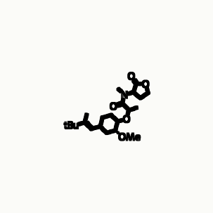 CO[C@@H]1CC(/C=C(\C)C(C)(C)C)CCC1OC(C)C(=O)N(C)C1CCOC1=O